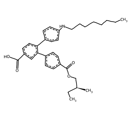 CCCCCCCCNc1ccc(-c2ccc(C(=O)O)cc2-c2ccc(C(=O)OC[C@@H](C)CC)cc2)cc1